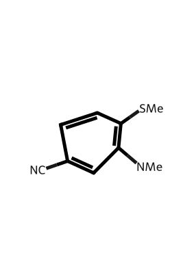 CNc1cc(C#N)ccc1SC